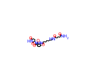 NC(=O)CCCC(=O)NCCCCCCCC(=O)Nc1cccc2c1C(=O)N(C1CCC(=O)NC1=O)C2=O